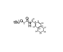 CC(NC(=O)COC(C)(C)C)c1ccc2c(c1)CCCC2